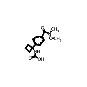 CON(C)C(=O)c1ccc(C2(NC(=O)O)CCC2)cc1